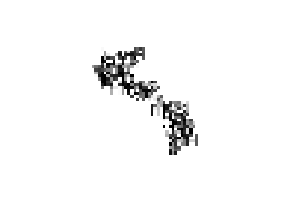 Cc1sc2c(c1C)C(c1ccc(Cl)cc1)=N[C@@H](CC(=O)NN1CCN(C(=O)CCCCNc3cccc4c3C(=O)N(C3CCC(=O)NC3=O)C4=O)CC1)c1nnc(C)n1-2